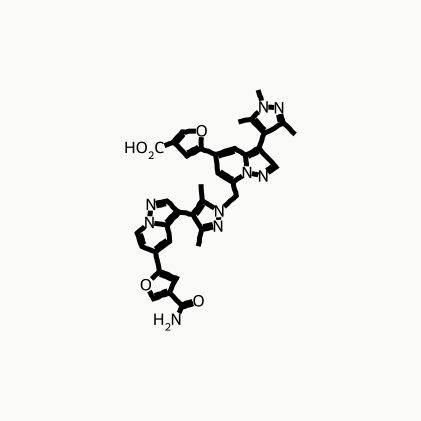 Cc1nn(C)c(C)c1-c1cnn2c(Cn3nc(C)c(-c4cnn5ccc(-c6cc(C(N)=O)co6)cc45)c3C)cc(-c3cc(C(=O)O)co3)cc12